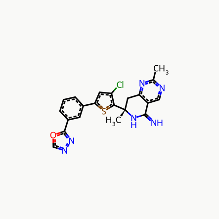 Cc1ncc2c(n1)C[C@@](C)(c1sc(-c3cccc(-c4nnco4)c3)cc1Cl)NC2=N